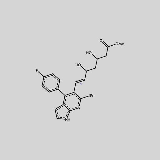 COC(=O)CC(O)CC(O)/C=C/c1c(C(C)C)nc2[nH]ccc2c1-c1ccc(F)cc1